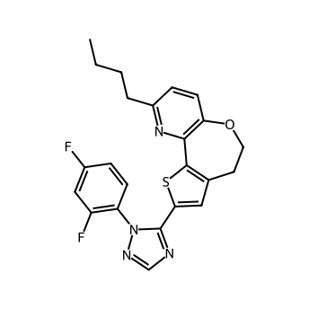 CCCCc1ccc2c(n1)-c1sc(-c3ncnn3-c3ccc(F)cc3F)cc1CCO2